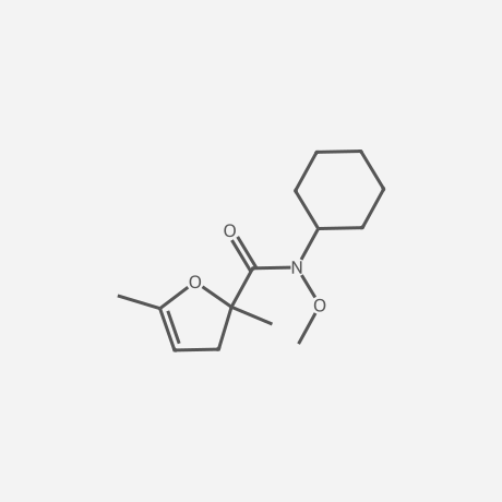 CON(C(=O)C1(C)CC=C(C)O1)C1CCCCC1